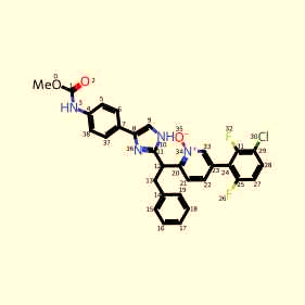 COC(=O)Nc1ccc(-c2c[nH]c(C(Cc3ccccc3)c3ccc(-c4c(F)ccc(Cl)c4F)c[n+]3[O-])n2)cc1